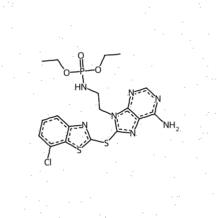 CCOP(=O)(NCCn1c(Sc2nc3cccc(Cl)c3s2)nc2c(N)ncnc21)OCC